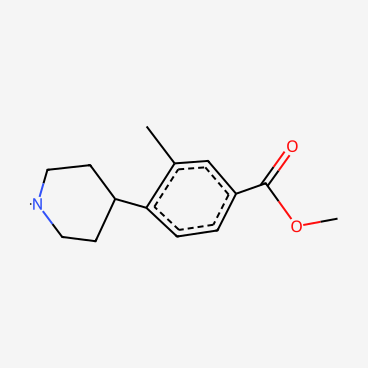 COC(=O)c1ccc(C2CC[N]CC2)c(C)c1